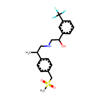 CC(CNCC(O)c1cccc(C(F)(F)F)c1)c1ccc(CS(C)(=O)=O)cc1